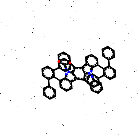 c1ccc(-c2cccc(-c3ccccc3)c2-c2cccc3c4c5c6ccccc6n6c7c(-c8c(-c9ccccc9)cccc8-c8ccccc8)cccc7c(c7c8ccccc8n(c23)c74)c56)cc1